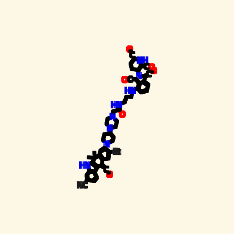 CCc1cc2c(cc1N1CCC(N3CCN(CC(=O)NCCCNc4cccc5c(=C=O)n(C6CCC(=C=O)NC6=C=O)c(=C=O)c45)CC3)CC1)C(C)(C)c1[nH]c3cc(C#N)ccc3c1C2=C=O